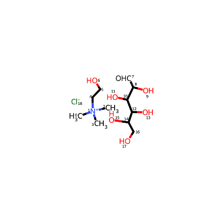 C[N+](C)(C)CCO.O=CC(O)C(O)C(O)C(O)CO.[Cl-]